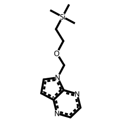 C[Si](C)(C)CCOCn1ccc2nccnc21